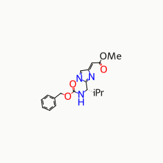 COC(=O)C=C1C=NC([C@@H](NC(=O)OCc2ccccc2)C(C)C)=N1